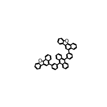 C1=CC2=C(c3cccc(-c4c5ccccc5c(-c5cccc(-c6cc7c8ccccc8oc7c7ccccc67)c5)c5ccccc45)c3)C=C3c4ccccc4OC3C2C=C1